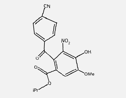 COc1cc(C(=O)OC(C)C)c(C(=O)c2ccc(C#N)cc2)c([N+](=O)[O-])c1O